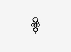 CC1=CC=CC=CN1S(=O)(=O)c1ccc(C)cc1